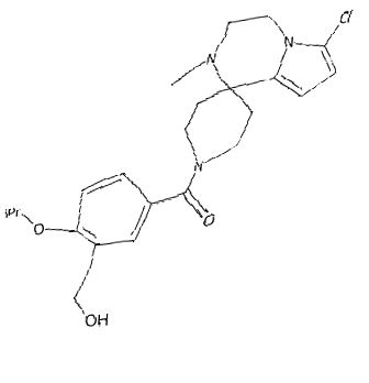 CC(C)Oc1ccc(C(=O)N2CCC3(CC2)c2ccc(Cl)n2CCN3C)cc1CO